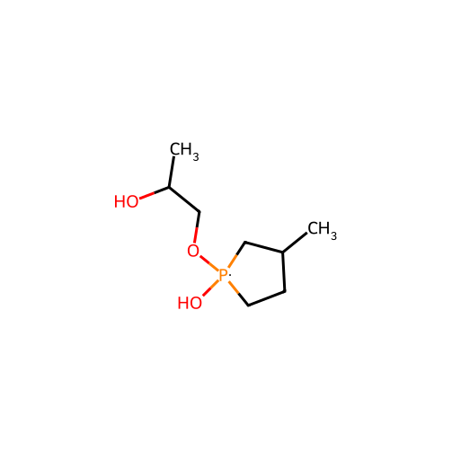 CC(O)CO[P]1(O)CCC(C)C1